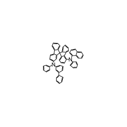 c1ccc(-c2cccc(N(c3ccccc3)c3ccc4c(c3)C3(c5ccccc5-4)c4ccccc4-c4c(N(c5ccccc5)c5cccc6ccccc56)cccc43)c2)cc1